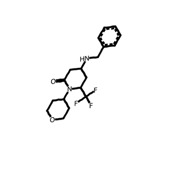 O=C1CC(NCc2ccccc2)CC(C(F)(F)F)N1C1CCOCC1